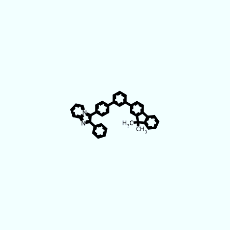 CC1(C)c2ccccc2-c2ccc(-c3cccc(-c4ccc(-c5c(-c6ccccc6)nc6ccccn56)cc4)c3)cc21